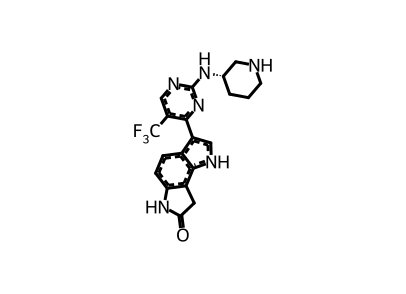 O=C1Cc2c(ccc3c(-c4nc(N[C@H]5CCCNC5)ncc4C(F)(F)F)c[nH]c23)N1